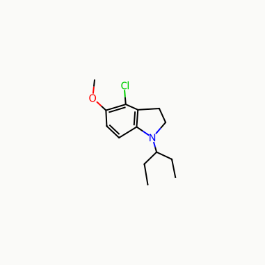 CCC(CC)N1CCc2c1ccc(OC)c2Cl